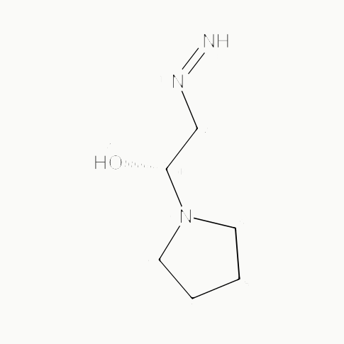 N=NC[C@@H](O)N1CCCC1